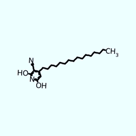 CCCCCCCCCCCCCCCCc1cc(O)nc(O)c1C#N